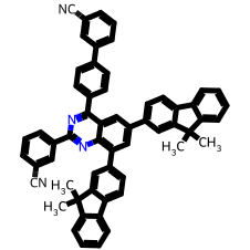 CC1(C)c2ccccc2-c2ccc(-c3cc(-c4ccc5c(c4)C(C)(C)c4ccccc4-5)c4nc(-c5cccc(C#N)c5)nc(-c5ccc(-c6cccc(C#N)c6)cc5)c4c3)cc21